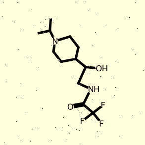 CC(C)N1CCC(C(O)CNC(=O)C(F)(F)F)CC1